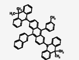 Cc1cccc(-c2c3ccc(N4c5ccccc5C(C)(C)c5ccccc54)cc3c(-c3ccc4ccccc4c3)c3ccc(N4c5ccccc5C(C)(C)c5ccccc54)cc23)c1